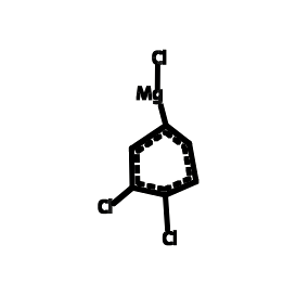 [Cl][Mg][c]1ccc(Cl)c(Cl)c1